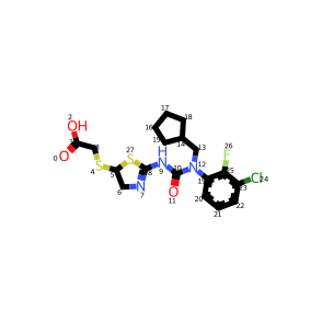 O=C(O)CSC1CN=C(NC(=O)N(CC2CCCC2)c2cccc(Cl)c2F)S1